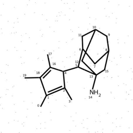 CC1=C(C)C(C2C3CC4CC(C3)CC2(N)C4)C(C)=C1C